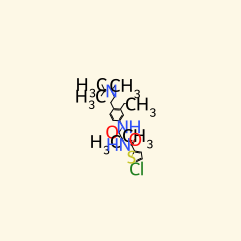 CCc1cc(NC(=O)C(C)(C)NC(=O)c2ccc(Cl)s2)ccc1CCN(C)C(C)C